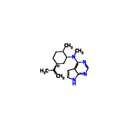 C=C(C)[C@H]1CCC(C)C(N(C)c2ncnc3[nH]ccc23)C1